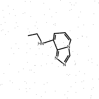 CCNc1cccn2cnnc12